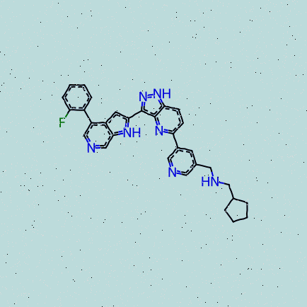 Fc1ccccc1-c1cncc2[nH]c(-c3n[nH]c4ccc(-c5cncc(CNCC6CCCC6)c5)nc34)cc12